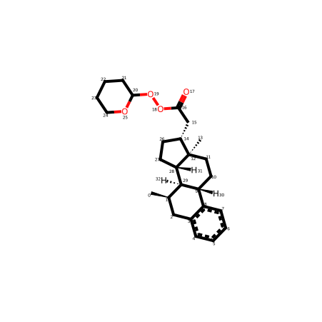 C[C@@H]1Cc2ccccc2[C@H]2CC[C@]3(C)[C@@H](CC(=O)OOC4CCCCO4)CC[C@H]3[C@H]12